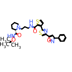 CC(C)(C)ONC(=O)[C@@H]1CCCCN1CCCNC(=O)c1sccc1-c1nc(-c2cc(-c3ccccc3)no2)cs1